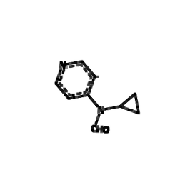 O=CN(c1[c]cncc1)C1CC1